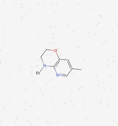 CCN1CCOc2cc(C)cnc21